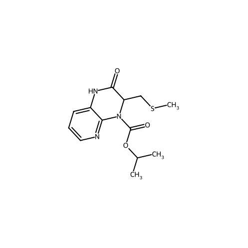 CSCC1C(=O)Nc2cccnc2N1C(=O)OC(C)C